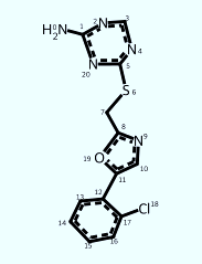 Nc1ncnc(SCc2ncc(-c3ccccc3Cl)o2)n1